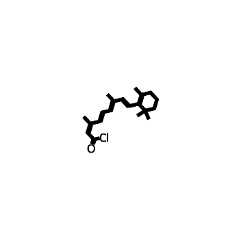 CC(C=CC1=C(C)CCCC1(C)C)=CC=C/C(C)=C\C(=O)Cl